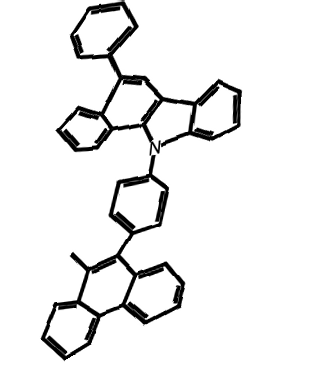 Cc1c(-c2ccc(-n3c4ccccc4c4cc(-c5ccccc5)c5ccccc5c43)cc2)c2ccccc2c2ccccc12